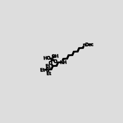 CCCCCCCCCCCCCCCCCCNCCC(C[N+](CC)(CC)CC)OP(=O)(O)O